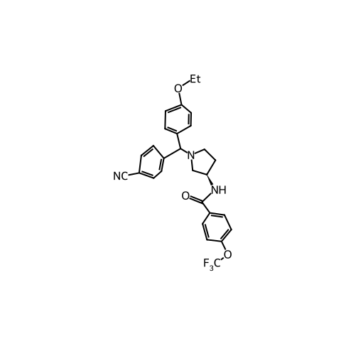 CCOc1ccc(C(c2ccc(C#N)cc2)N2CC[C@@H](NC(=O)c3ccc(OC(F)(F)F)cc3)C2)cc1